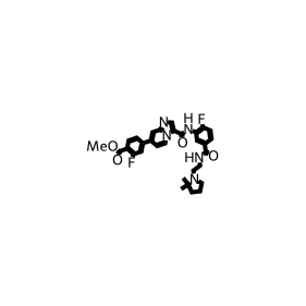 COC(=O)c1ccc(-c2ccn3c(C(=O)Nc4cc(C(=O)NCCN5CCCC5(C)C)ccc4F)cnc3c2)cc1F